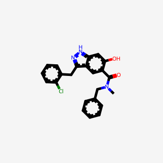 CN(Cc1ccccc1)C(=O)c1cc2c(Cc3ccccc3Cl)n[nH]c2cc1O